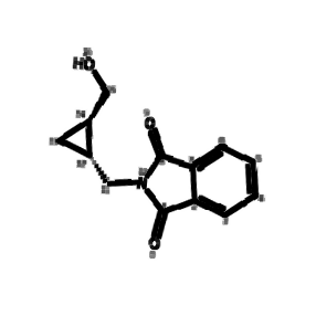 O=C1c2ccccc2C(=O)N1C[C@@H]1C[C@H]1CO